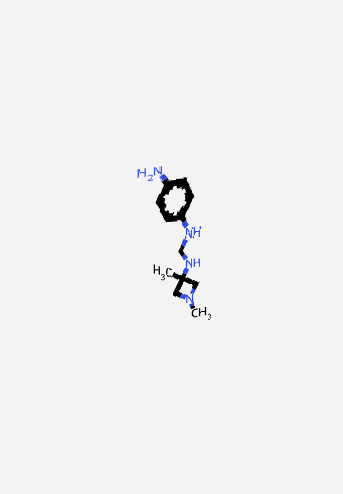 CN1CC(C)(NCNc2ccc(N)cc2)C1